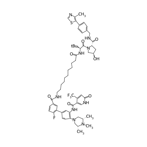 Cc1ncsc1-c1ccc(CNC(=O)[C@@H]2C[C@@H](O)CN2C(=O)[C@@H](NC(=O)CCCCCCCCCCNC(=O)c2ccc(F)c(-c3ccc(N4C[C@@H](C)N(C)[C@@H](C)C4)c(NC(=O)c4c[nH]c(=O)cc4C(F)(F)F)c3)c2)C(C)(C)C)cc1